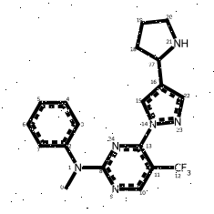 CN(c1ccccc1)c1ncc(C(F)(F)F)c(-n2cc(C3CCCN3)cn2)n1